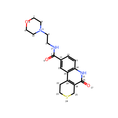 O=C(NCCN1CCOCC1)c1ccc2[nH]c(=O)c3c(c2c1)CCSC3